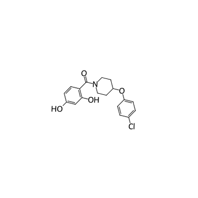 O=C(c1ccc(O)cc1O)N1CCC(Oc2ccc(Cl)cc2)CC1